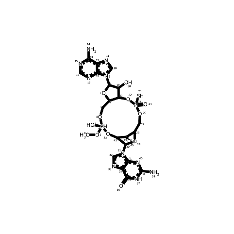 CO[PH]1(O)OCC2OC(n3cnc4c(N)ncnc43)C(O)C2OP(=O)(S)OCC2OC(n3cnc4c(=O)[nH]c(N)nc43)C(O1)C2O